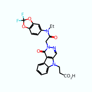 CCN(C(=O)Cn1ncc2c(c1=O)c1ccccc1n2CCC(=O)O)c1ccc2c(c1)OC(F)(F)O2